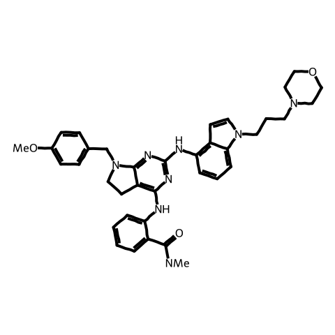 CNC(=O)c1ccccc1Nc1nc(Nc2cccc3c2ccn3CCCN2CCOCC2)nc2c1CCN2Cc1ccc(OC)cc1